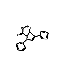 O=C1NC=NC2C(c3ccccc3)=CN(c3ccccc3)C12